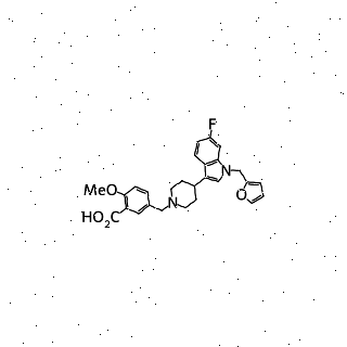 COc1ccc(CN2CCC(c3cn(Cc4ccco4)c4cc(F)ccc34)CC2)cc1C(=O)O